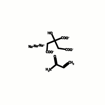 C=CC(N)=O.O=C([O-])CC(O)(CC(=O)[O-])C(=O)[O-].[Na+].[Na+].[Na+]